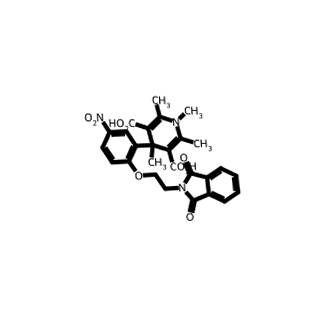 CC1=C(C(=O)O)C(C)(c2cc([N+](=O)[O-])ccc2OCCN2C(=O)c3ccccc3C2=O)C(C(=O)O)=C(C)N1C